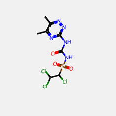 Cc1nnc(NC(=O)NS(=O)(=O)C(Cl)C(Cl)Cl)nc1C